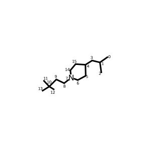 CC(C)CC1CCN(CCC(C)(C)C)CC1